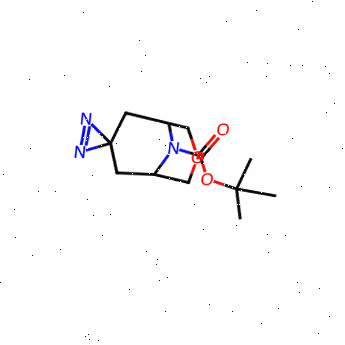 CC(C)(C)OC(=O)N1C2COCC1CC1(C2)N=N1